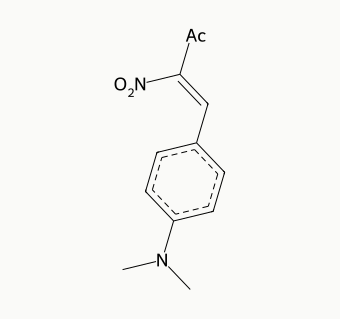 CC(=O)/C(=C/c1ccc(N(C)C)cc1)[N+](=O)[O-]